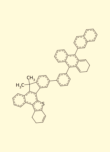 CC1(C)c2ccc(-c3cccc(-c4c5c(c(-c6ccc7ccccc7c6)c6ccccc46)=CCCC=5)c3)cc2-c2c1c1ccccc1c1c3c(sc21)C=CCC3